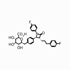 O=C(O)[C@H]1O[C@@H](Cc2ccc([C@@H]3[C@@H](CCCc4ccc(F)cc4)C(=O)N3c3ccc(F)cc3)cc2)[C@H](O)[C@@H](O)[C@@H]1O